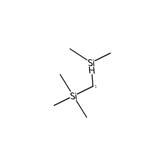 C[SiH](C)[C][Si](C)(C)C